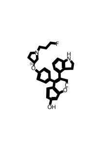 Oc1ccc2c(c1)OCCC(c1cccc3c1CCN3)=C2c1ccc(O[C@H]2CCN(CCCF)C2)cc1